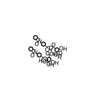 CC(COC(=O)c1cc(O)c(O)c(O)c1)c1ccc(N2Cc3ccccc3C2=O)cc1.CC(Cc1c(C(=O)O)cc(O)c(O)c1O)c1ccc(N2Cc3ccccc3C2=O)cc1